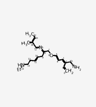 C=C/C(=C\C=C\OC/C(C/C=C/CCNCC)=N/CC(C)=CC)CN